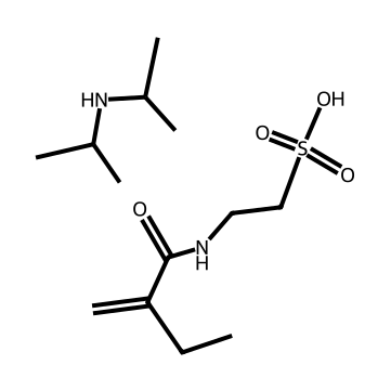 C=C(CC)C(=O)NCCS(=O)(=O)O.CC(C)NC(C)C